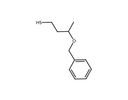 CC(CCS)OCc1ccccc1